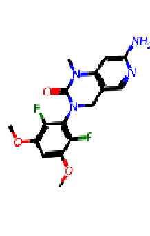 COc1cc(OC)c(F)c(N2Cc3cnc(N)cc3N(C)C2=O)c1F